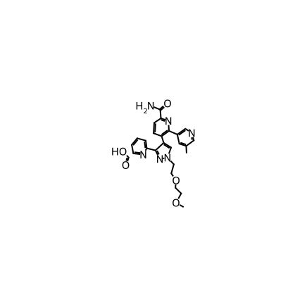 COCCOCCn1cc(-c2ccc(C(N)=O)nc2-c2cncc(C)c2)c(-c2ccccn2)n1.O=CO